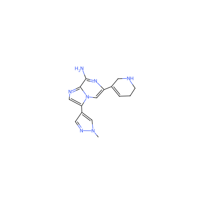 Cn1cc(-c2cnc3c(N)nc(C4=CCCNC4)cn23)cn1